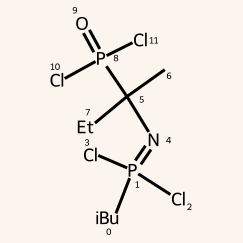 CCC(C)P(Cl)(Cl)=NC(C)(CC)P(=O)(Cl)Cl